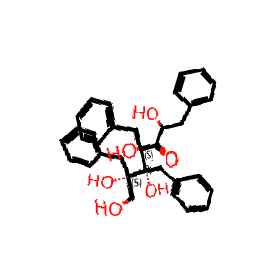 O=C(C(O)Cc1ccccc1)[C@](O)(Cc1ccccc1)[C@@](O)(Cc1ccccc1)[C@@](O)(CO)Cc1ccccc1